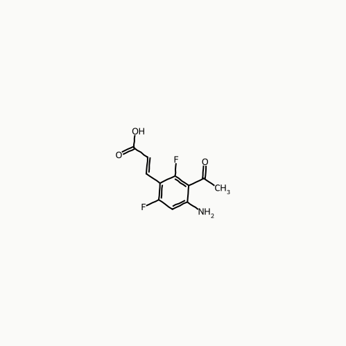 CC(=O)c1c(N)cc(F)c(C=CC(=O)O)c1F